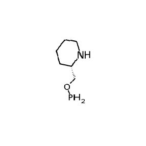 POC[C@@H]1CCCCN1